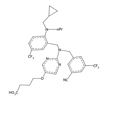 CCCN(CC1CC1)c1ccc(C(F)(F)F)cc1CN(Cc1cc(C#N)cc(C(F)(F)F)c1)c1ncc(OCCCC(=O)O)cn1